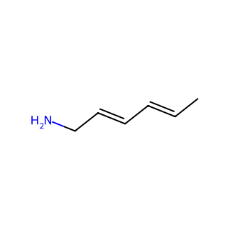 CC=CC=CCN